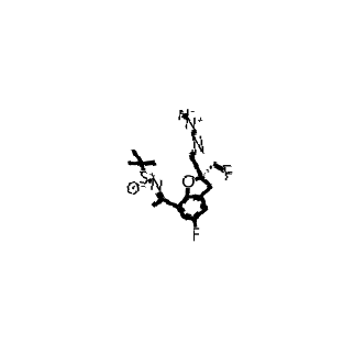 CC(=N[S@+]([O-])C(C)(C)C)c1cc(F)cc2c1O[C@@](CF)(CN=[N+]=[N-])C2